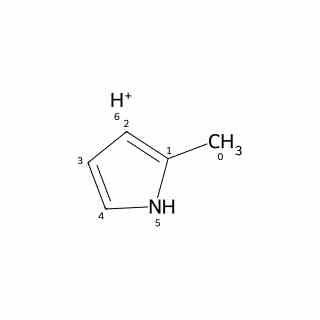 Cc1ccc[nH]1.[H+]